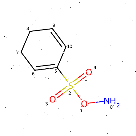 NOS(=O)(=O)C1=CCCC=C1